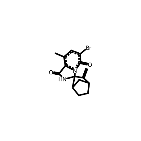 C=C1C2CCC(C2)C12NC(=O)c1c(C)cc(Br)c(=O)n12